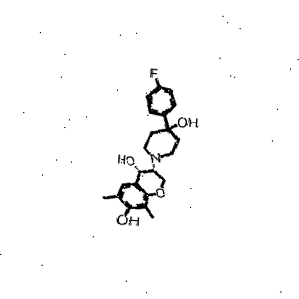 Cc1cc2c(c(C)c1O)OC[C@@H](N1CCC(O)(c3ccc(F)cc3)CC1)[C@H]2O